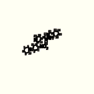 O=[N+]([O-])c1ccc(N2CCCCC2)cc1-c1cc(C2=CN(Cc3ccccc3)NN2)ccn1